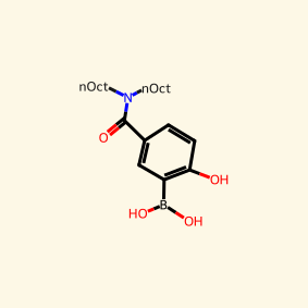 CCCCCCCCN(CCCCCCCC)C(=O)c1ccc(O)c(B(O)O)c1